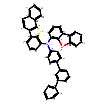 c1ccc(-c2cccc(-c3ccc(N(c4cccc5c4oc4ccccc45)c4cccc5c4sc4c6ccccc6ccc54)cc3)c2)cc1